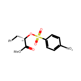 COC(=O)[C@H](CC(C)C)OS(=O)(=O)c1ccc([N+](=O)[O-])cc1